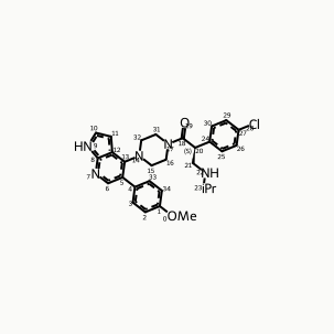 COc1ccc(-c2cnc3[nH]ccc3c2N2CCN(C(=O)[C@H](CNC(C)C)c3ccc(Cl)cc3)CC2)cc1